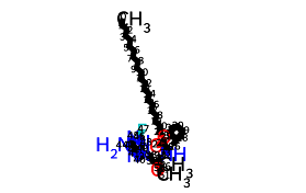 CCCCCCCCCCCCCCCCCCCCCCOC(=O)[C@H](Cc1ccccc1)NC[C@](C)(CCn1cnc2c(N)nc(F)nc21)OC